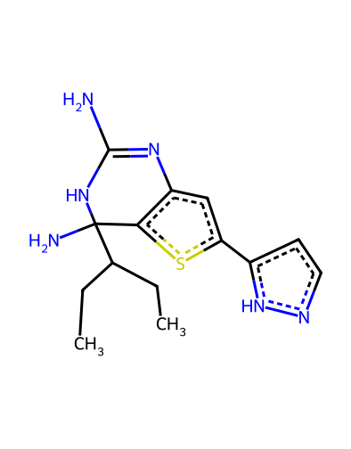 CCC(CC)C1(N)NC(N)=Nc2cc(-c3ccn[nH]3)sc21